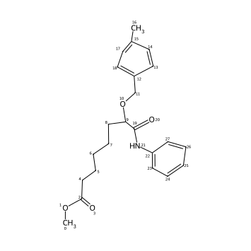 COC(=O)CCCCCC(OCc1ccc(C)cc1)C(=O)Nc1ccccc1